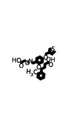 Cc1ccccc1C(CCC(=O)O)Oc1cc(OCc2ccsc2)ccc1/C=N/OCC(=O)O